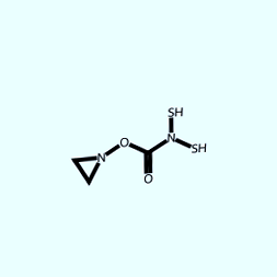 O=C(ON1CC1)N(S)S